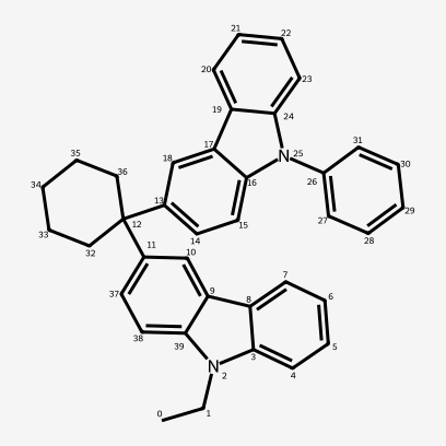 CCn1c2ccccc2c2cc(C3(c4ccc5c(c4)c4ccccc4n5-c4ccccc4)CCCCC3)ccc21